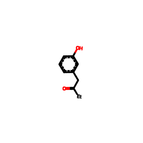 CCC(=O)Cc1cccc(O)c1